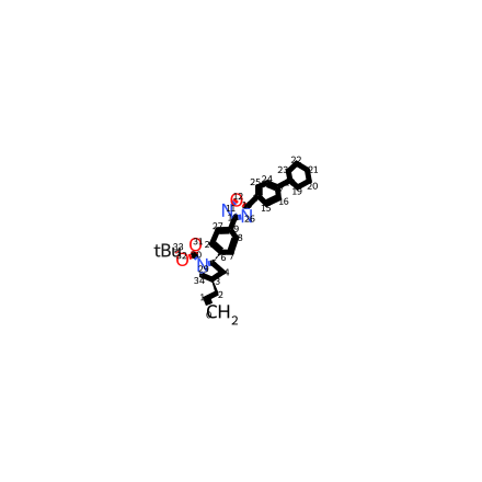 C=CC[C@@H]1C[C@@H](c2ccc(-c3noc(-c4ccc(C5CCCCC5)cc4)n3)cc2)N(C(=O)OC(C)(C)C)C1